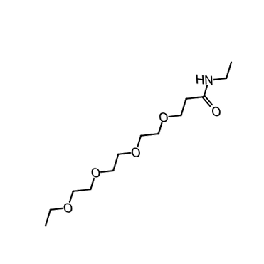 CCNC(=O)CCOCCOCCOCCOCC